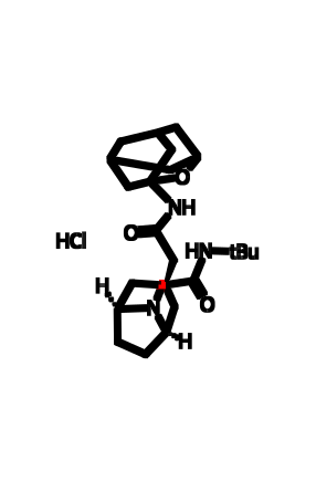 CC(C)(C)NC(=O)CN1[C@@H]2CC[C@H]1C[C@@H](CC(=O)NC13CC4CC(CC(C4)O1)C3)C2.Cl